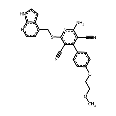 COCCOc1ccc(-c2c(C#N)c(N)nc(SCc3ccnc4[nH]ccc34)c2C#N)cc1